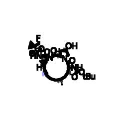 C[C@@H]1CC/C=C\[C@@H]2C[C@@]2(C(=O)NS(=O)(=O)C2(CF)CC2)NC(=O)[C@@H]2C[C@@H](O)CN2C(=O)[C@@H](NC(=O)OC(C)(C)C)[C@H](C)C1